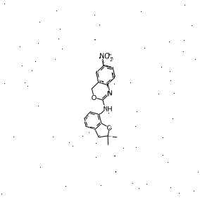 CC1(C)Cc2cccc(NC3=Nc4ccc([N+](=O)[O-])cc4CO3)c2O1